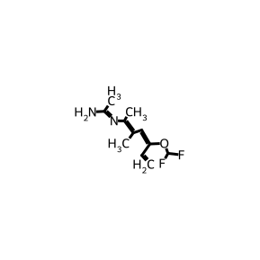 C=C\C(=C/C(C)=C(C)/N=C(\C)N)OC(F)F